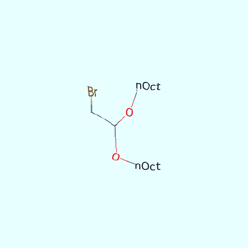 CCCCCCCCOC(CBr)OCCCCCCCC